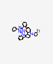 CCc1cccc(-n2c3ccccc3c3c2ccc2c4ccccc4n(-c4nc(-c5ccccc5)nc(-c5ccccc5)n4)c23)c1